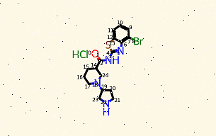 Cl.O=C(Nc1nc2c(Br)cccc2s1)C1CCCN(C2CCNC2)C1